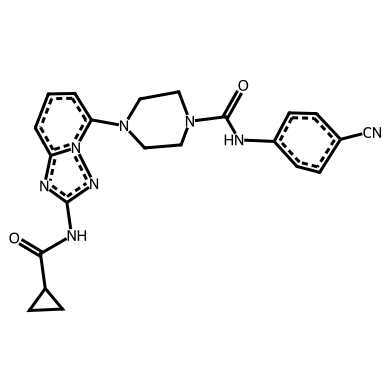 N#Cc1ccc(NC(=O)N2CCN(c3cccc4nc(NC(=O)C5CC5)nn34)CC2)cc1